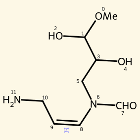 COC(O)C(O)CN(C=O)/C=C\CN